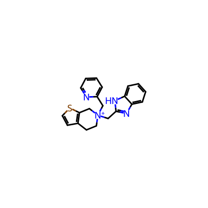 c1ccc(C[N+]2(Cc3nc4ccccc4[nH]3)CCc3ccsc3C2)nc1